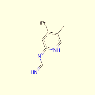 Cc1c[nH]/c(=N\C=N)cc1C(C)C